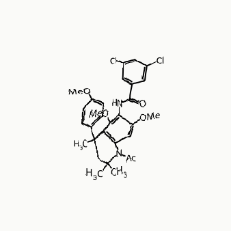 COc1ccc(C2(C)CC(C)(C)N(C(C)=O)c3cc(OC)c(NC(=O)c4cc(Cl)cc(Cl)c4)c(OC)c32)cc1